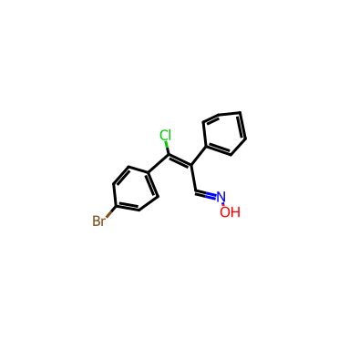 ON=CC(=C(Cl)c1ccc(Br)cc1)c1ccccc1